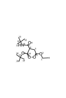 CCOC(=O)CC(C(=O)NC(C)(C)C)C(=O)OC(C)(C)C